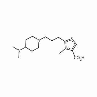 Cc1c(C(=O)O)csc1CCCN1CCC(N(C)C)CC1